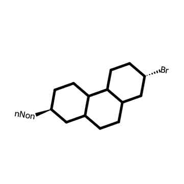 CCCCCCCCC[C@H]1CCC2C(CCC3C[C@@H](Br)CCC32)C1